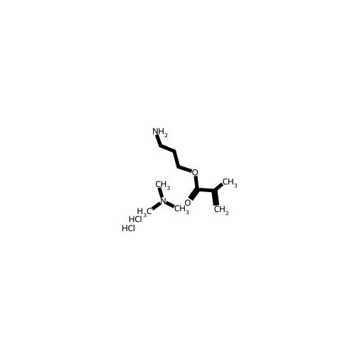 C=C(C)C(=O)OCCCN.CN(C)C.Cl.Cl